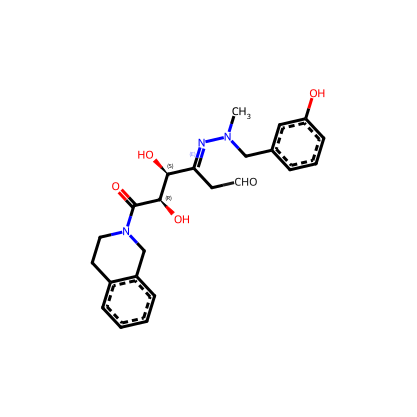 CN(Cc1cccc(O)c1)/N=C(\CC=O)[C@H](O)[C@@H](O)C(=O)N1CCc2ccccc2C1